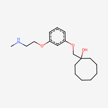 CNCCOc1cccc(OCC2(O)CCCCCCC2)c1